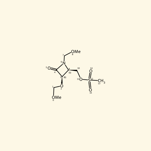 COCO[C@H]1C(=O)N(COC)[C@H]1COS(C)(=O)=O